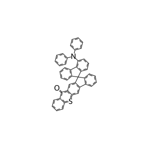 O=c1c2ccccc2sc2cc3c(cc12)C1(c2ccccc2-3)c2ccccc2-c2c(N(c3ccccc3)c3ccccc3)cccc21